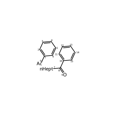 CC(=O)c1ccccc1.CCCCCCCC(=O)c1ccccc1